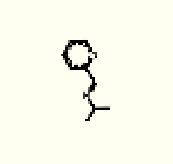 CC(C)N=Cc1ccccn1